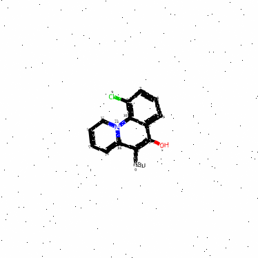 CCCCC1=C(O)c2cccc(Cl)c2N2CC=CC=C12